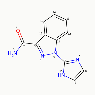 NC(=O)c1nn(-c2ncc[nH]2)c2ccccc12